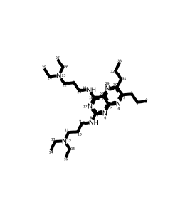 CCCc1nc2nc(NCCCN(CC)CC)nc(NCCCN(CC)CC)c2nc1CCC